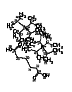 CC(C)[N+](C(C)C)(C(C)C)C(C)C.CC(C)[N+](C(C)C)(C(C)C)C(C)C.O=C(O)CCCCC(=O)O